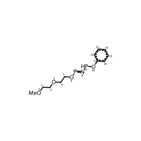 COCCOCCOP=NPOc1ccccc1